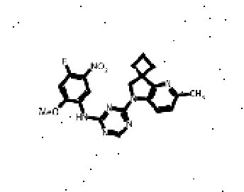 COc1cc(F)c([N+](=O)[O-])cc1Nc1ncnc(N2CC3(CCC3)c3nc(C)ccc32)n1